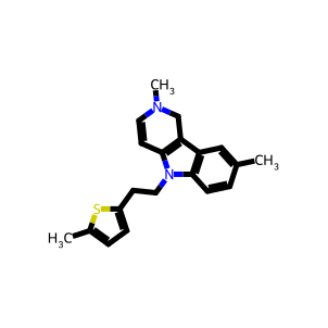 Cc1ccc2c(c1)c1c(n2CCc2ccc(C)s2)C=CN(C)C1